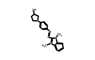 Cn1c(/N=N/c2ccc(N3CCC(O)C3)cc2)[n+](C)c2ccccc21